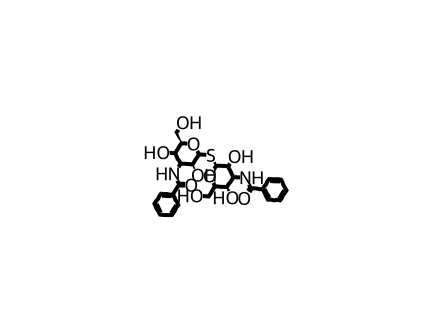 O=C(NC1C(O)[C@H](SC2O[C@H](CO)C(O)C(NC(=O)c3ccccc3)[C@H]2O)OC(CO)[C@@H]1O)c1ccccc1